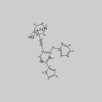 OC1(C#Cc2cnc(-c3cccs3)nc2Cc2ccccc2)CN2CCC1CC2